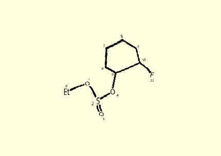 CCOS(=O)OC1CCCCC1F